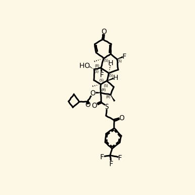 C[C@@H]1C[C@H]2[C@@H]3C[C@H](F)C4=CC(=O)C=C[C@]4(C)[C@@]3(F)[C@@H](O)C[C@]2(C)[C@@]1(OC(=O)C1CCC1)C(=O)SCC(=O)c1ccc(C(F)(F)F)cc1